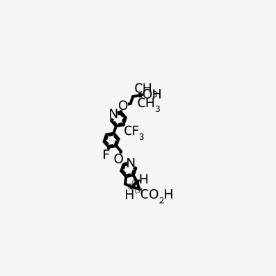 CC(C)(O)CCOc1cc(C(F)(F)F)c(-c2ccc(F)c(COc3cc4c(cn3)[C@H]3[C@@H](C4)[C@@H]3C(=O)O)c2)cn1